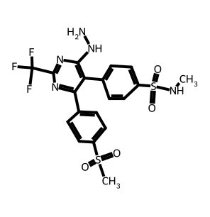 CNS(=O)(=O)c1ccc(-c2c(NN)nc(C(F)(F)F)nc2-c2ccc(S(C)(=O)=O)cc2)cc1